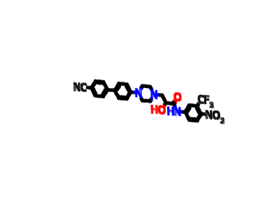 N#Cc1ccc(-c2ccc(N3CCN(CC(O)C(=O)Nc4ccc([N+](=O)[O-])c(C(F)(F)F)c4)CC3)cc2)cc1